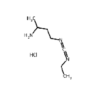 CCN=C=NCCC(C)N.Cl